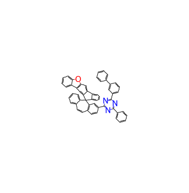 C1=Cc2ccc(-c3nc(-c4ccccc4)nc(-c4cccc(-c5ccccc5)c4)n3)cc2C2(c3ccccc31)c1ccccc1-c1cc3oc4ccccc4c3cc12